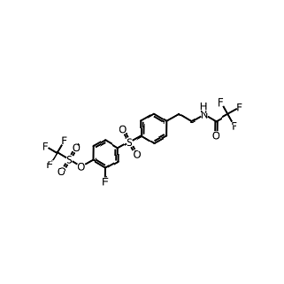 O=C(NCCc1ccc(S(=O)(=O)c2ccc(OS(=O)(=O)C(F)(F)F)c(F)c2)cc1)C(F)(F)F